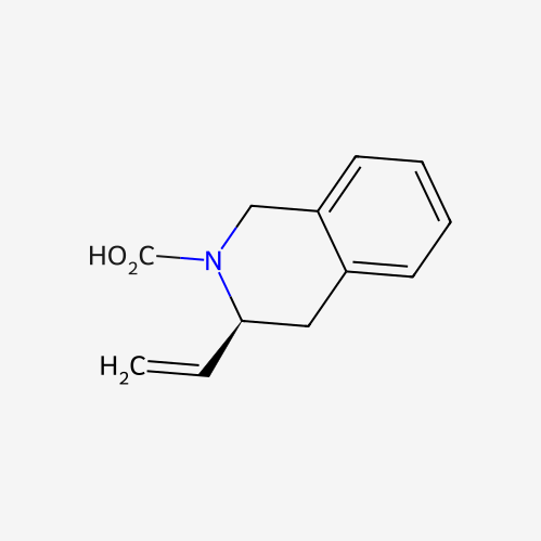 C=C[C@@H]1Cc2ccccc2CN1C(=O)O